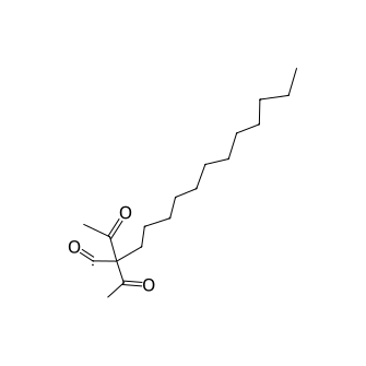 CCCCCCCCCCCCC([C]=O)(C(C)=O)C(C)=O